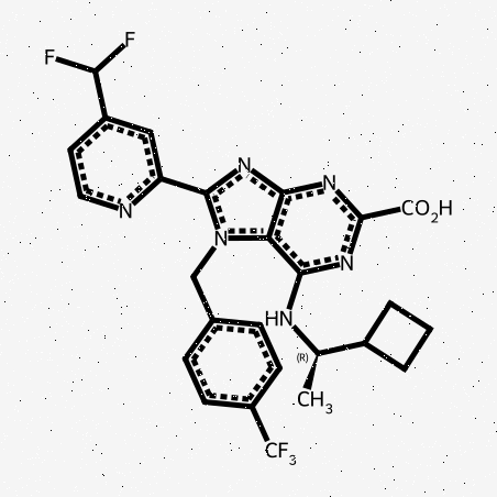 C[C@@H](Nc1nc(C(=O)O)nc2nc(-c3cc(C(F)F)ccn3)n(Cc3ccc(C(F)(F)F)cc3)c12)C1CCC1